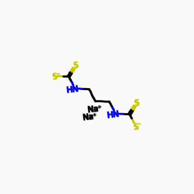 S=C([S-])NCCCNC(=S)[S-].[Na+].[Na+]